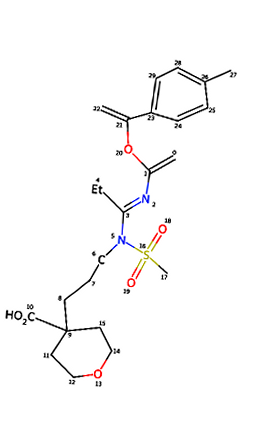 C=C(/N=C(\CC)N(CCCC1(C(=O)O)CCOCC1)S(C)(=O)=O)OC(=C)c1ccc(C)cc1